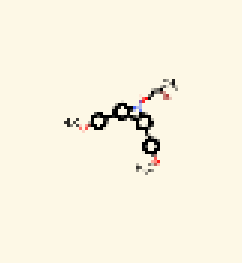 COc1ccc(-c2ccc3c(c2)c2cc(-c4ccc(OC)cc4)ccc2n3OCCC(C)Br)cc1